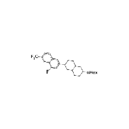 CCCCCCC1CCC2CC(c3cc(F)c4cc(C(F)(F)F)ccc4c3)CCC2C1